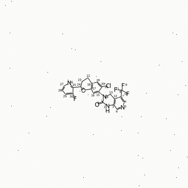 O=C1Nc2cncc(C(F)(F)F)c2CN1c1cc2c(cc1Cl)CCC(c1ncccc1F)O2